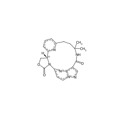 CC1(C)CCc2cccc(n2)[C@H]2COC(=O)N2c2ccn3ncc(c3n2)C(=O)N1